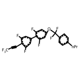 CCCc1ccc(C(F)(F)Oc2cc(F)c(-c3cc(F)c(C#CC(F)(F)F)c(F)c3)c(F)c2)cc1